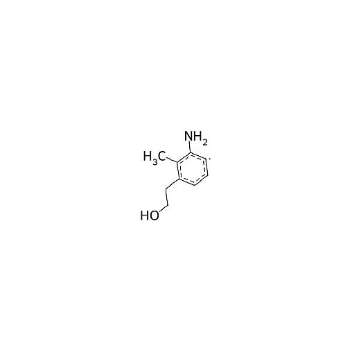 Cc1c(N)[c]ccc1CCO